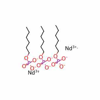 CCCCCCOP(=O)([O-])[O-].CCCCCCOP(=O)([O-])[O-].CCCCCCOP(=O)([O-])[O-].[Nd+3].[Nd+3]